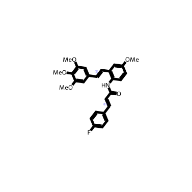 COc1ccc(NC(=O)/C=C/c2ccc(F)cc2)c(/C=C/c2cc(OC)c(OC)c(OC)c2)c1